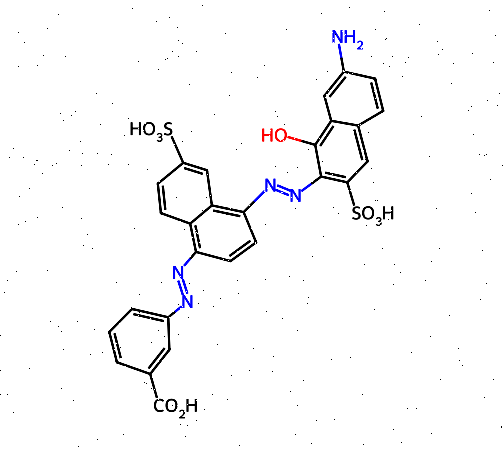 Nc1ccc2cc(S(=O)(=O)O)c(N=Nc3ccc(N=Nc4cccc(C(=O)O)c4)c4ccc(S(=O)(=O)O)cc34)c(O)c2c1